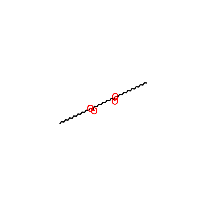 CCCCCCCCCCCCCCCOC(=O)CCCCCCCCCC(=O)OCCCCCCCCCCCCCCC